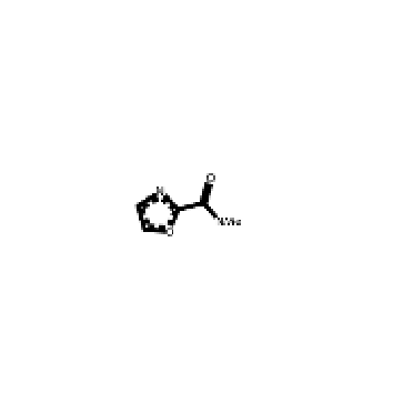 CNC(=O)c1ncco1